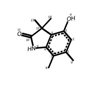 Cc1cc(O)c2c(c1C)NC(=O)C2(C)C